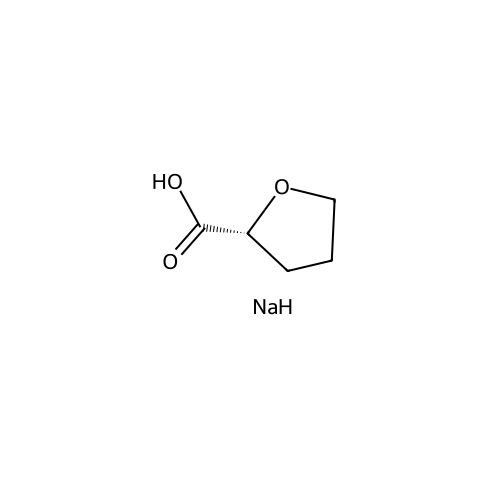 O=C(O)[C@H]1CCCO1.[NaH]